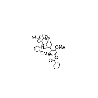 COc1cc(OC(=O)C2CCCCC2)ccc1-c1ccc2c3c1CN(c1ccccc1OC)N3C(=O)C(C)(C)N2